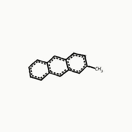 Cc1[c][c]c2cc3ccccc3cc2c1